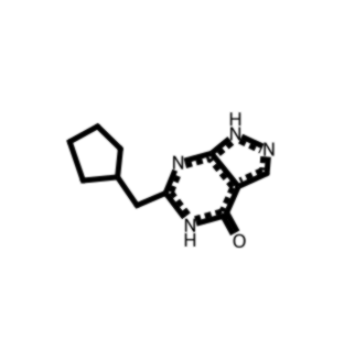 O=c1[nH]c(CC2CCCC2)nc2[nH]ncc12